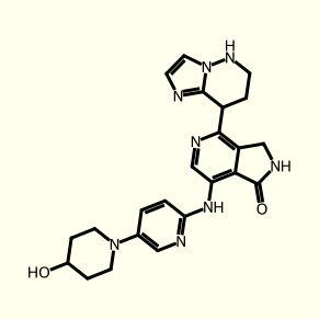 O=C1NCc2c(C3CCNn4ccnc43)ncc(Nc3ccc(N4CCC(O)CC4)cn3)c21